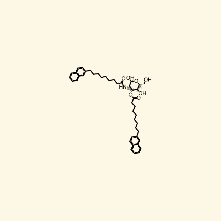 O=C(CCCCCCCCc1ccc2ccccc2c1)N[C@H]1[C@@H](OC(=O)CCCCCCCCc2ccc3ccccc3c2)[C@H](O)[C@@H](CO)O[C@@H]1O